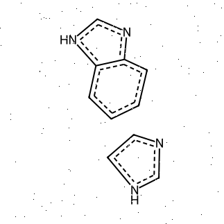 c1c[nH]cn1.c1ccc2[nH]cnc2c1